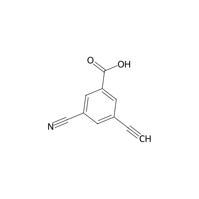 C#Cc1cc(C#N)cc(C(=O)O)c1